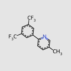 Cc1ccc(-c2cc(C(F)(F)F)cc(C(F)(F)F)c2)nc1